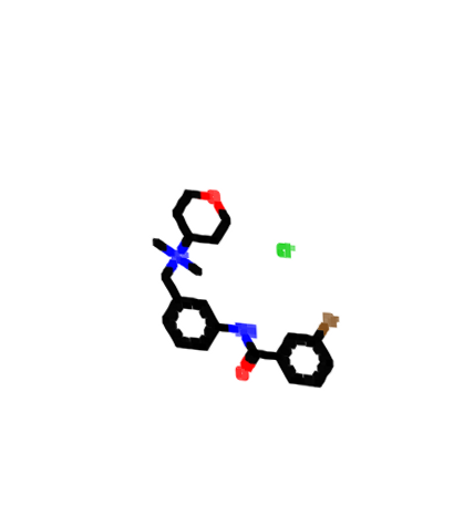 C[N+](C)(Cc1cccc(NC(=O)c2cccc(Br)c2)c1)C1CCOCC1.[Cl-]